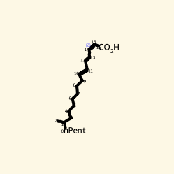 CCCCCC(C)CCCCCCCC=CC=C/C=C\C(=O)O